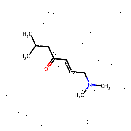 CC(C)CC(=O)/C=C/CN(C)C